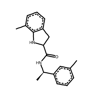 Cc1cccc([C@@H](C)NC(=O)C2Cc3cccc(C)c3N2)c1